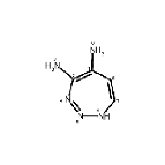 NC1=C(N)N=NNC=C1